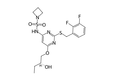 CC[C@@H](O)COc1cc(NS(=O)(=O)N2CCC2)nc(SCc2cccc(F)c2F)n1